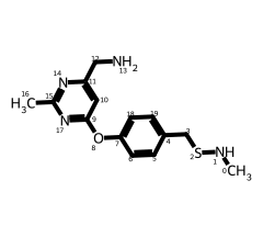 CNSCc1ccc(Oc2cc(CN)nc(C)n2)cc1